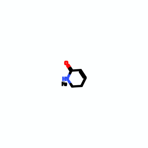 O=C1C=CCCN1.[Fe]